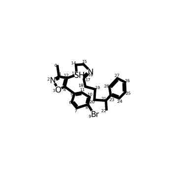 Cc1noc(-c2ccc(Br)cc2)c1[SH]1CCN=C1CCCC(C)c1ccccc1